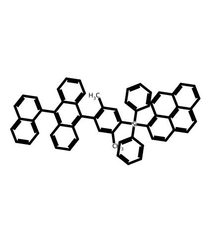 Cc1cc([Si](c2ccccc2)(c2ccccc2)c2ccc3ccc4cccc5ccc2c3c45)c(C)cc1-c1c2ccccc2c(-c2cccc3ccccc23)c2ccccc12